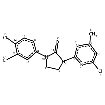 Cc1cc(Cl)nc(N2CCN(c3ccc(Cl)c(Cl)c3)C2=O)n1